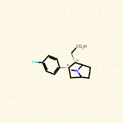 CN1C2CCC1[C@@H](CC(=O)O)[C@@H](c1ccc(F)cc1)C2